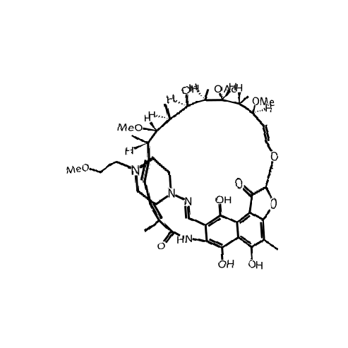 COCCN1CCN(/N=C/c2c3c(O)c4c(O)c(C)c5c(c4c2O)C(=O)[C@@](C)(O/C=C/[C@H](OC)[C@@H](C)[C@@H](OC(C)=O)[C@H](C)[C@H](O)[C@H](C)[C@@H](OC)[C@@H](C)/C=C/C=C(/C)C(=O)N3)O5)CC1